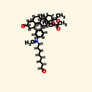 CC(=O)O[C@]1(C(C)=O)CC[C@H]2[C@@H]3CCC4=CC(=O)CCC4=C3[C@@H](c3ccc(N(C)CCCCCCCC=O)cc3)C[C@@]21C